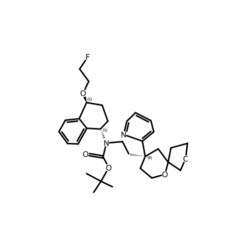 CC(C)(C)OC(=O)N(CC[C@@]1(c2ccccn2)CCOC2(CCCC2)C1)[C@H]1CC[C@H](OCCF)c2ccccc21